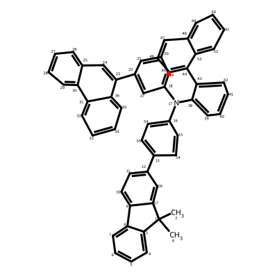 CC1(C)c2ccccc2-c2ccc(-c3ccc(N(c4cccc(-c5cc6ccccc6c6ccccc56)c4)c4ccccc4-c4cccc5ccccc45)cc3)cc21